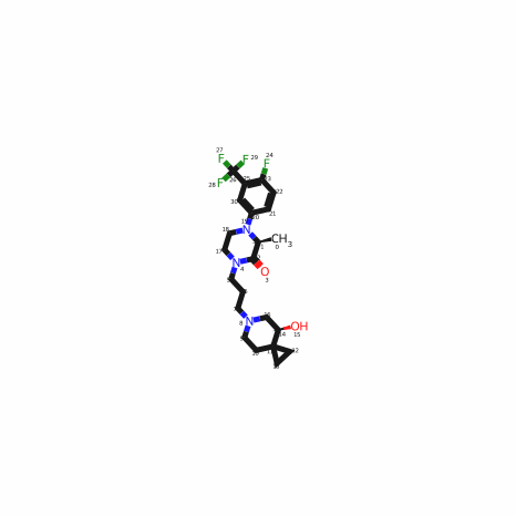 C[C@H]1C(=O)N(CCCN2CCC3(CC3)[C@H](O)C2)CCN1c1ccc(F)c(C(F)(F)F)c1